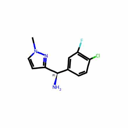 Cn1ccc([C@H](N)c2ccc(Cl)c(F)c2)n1